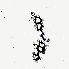 O=C1CCc2cc(/C=C/C(=O)N3C[C@H]4CC(c5ccsc5)=C[C@H]4C3)cnc2N1